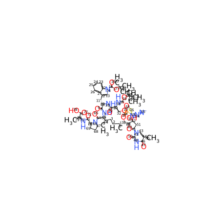 CCCC[C@H](C)[C@H](NC(=O)[C@H](Cc1cn(C(=O)OC(C)(C)C)c2ccccc12)NC(=O)[C@H](COP(O)(=S)OC[C@H]1OC(n2cc(C)c(=O)[nH]c2=O)CC1N=[N+]=[N-])NC(=O)OC(C)(C)C)C(=O)N1CCC[C@H]1C(=O)N[C@@H](C)C(=O)O